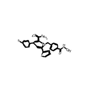 NC(=O)c1c(-c2ccc(F)cc2)cc(-c2cccs2)n1Cc1ccc(C(=O)NO)cc1